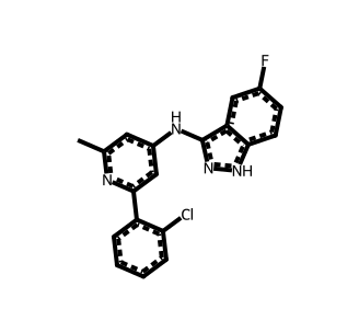 Cc1cc(Nc2n[nH]c3ccc(F)cc23)cc(-c2ccccc2Cl)n1